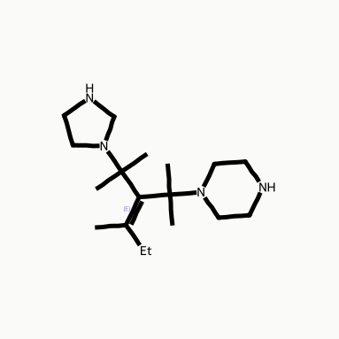 CC/C(C)=C(\C(C)(C)N1CCNCC1)C(C)(C)N1CCNC1